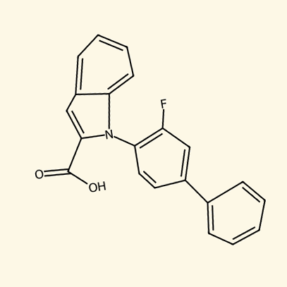 O=C(O)c1cc2ccccc2n1-c1ccc(-c2ccccc2)cc1F